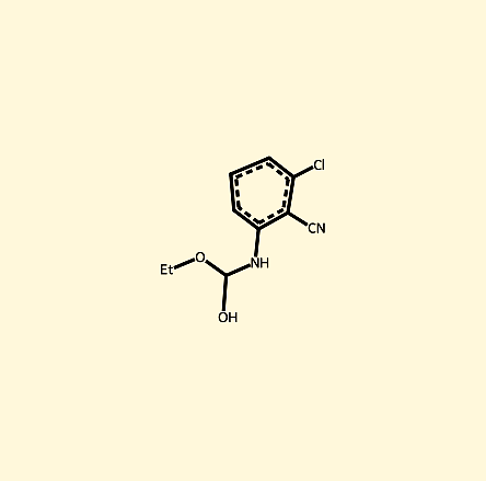 CCOC(O)Nc1cccc(Cl)c1C#N